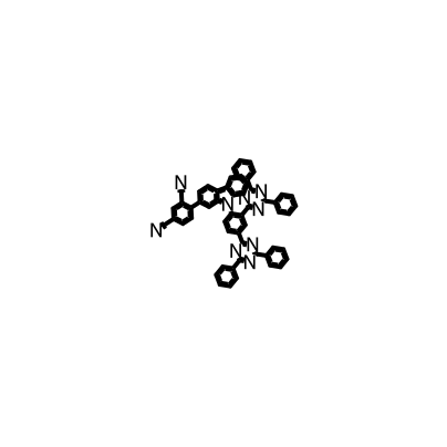 N#Cc1ccc(-c2ccc3c4ccccc4n(-c4ccc(-c5nc(-c6ccccc6)nc(-c6ccccc6)n5)cc4-c4nc(-c5ccccc5)nc(-c5ccccc5)n4)c3c2)c(C#N)c1